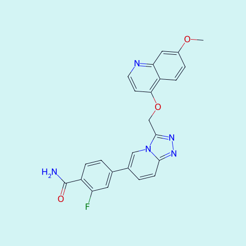 COc1ccc2c(OCc3nnc4ccc(-c5ccc(C(N)=O)c(F)c5)cn34)ccnc2c1